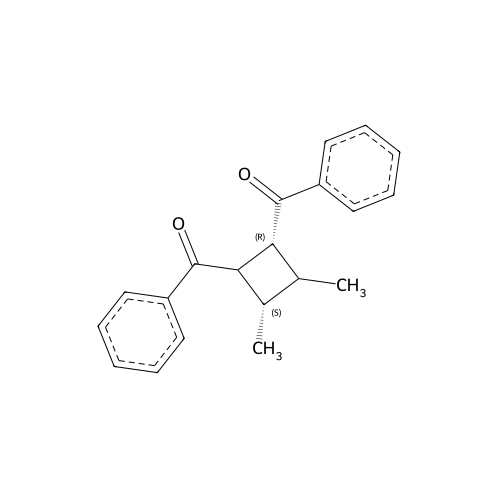 CC1[C@H](C)C(C(=O)c2ccccc2)[C@@H]1C(=O)c1ccccc1